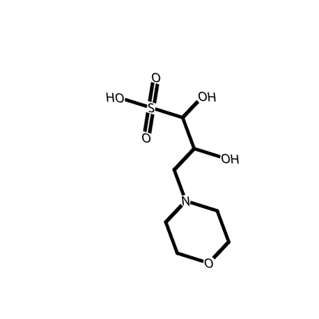 O=S(=O)(O)C(O)C(O)CN1CCOCC1